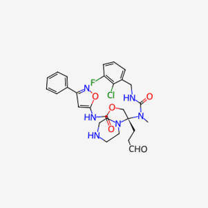 CN(C(=O)NCc1cccc(F)c1Cl)[C@@](CCC=O)(COC(=O)Nc1cc(-c2ccccc2)no1)N1CCNCC1